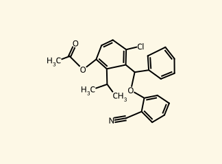 CC(=O)Oc1ccc(Cl)c(C(Oc2ccccc2C#N)c2ccccc2)c1C(C)C